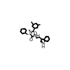 Cc1cc(C)cc(C(=O)N(C)[C@@H](Cc2ccccc2)C(=O)NCCc2c[nH]c3ccccc23)c1